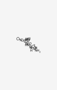 CC1(C)Cc2c(C(=O)Nc3nc(COC4CCN(C5CCCCCC5)CC4)cs3)n[nH]c2-c2nc(N)ncc21.Cl.Cl.Cl